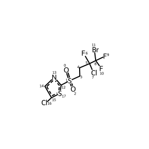 O=S(=O)(CCC(F)(Cl)C(F)(F)Br)c1ncc(Cl)s1